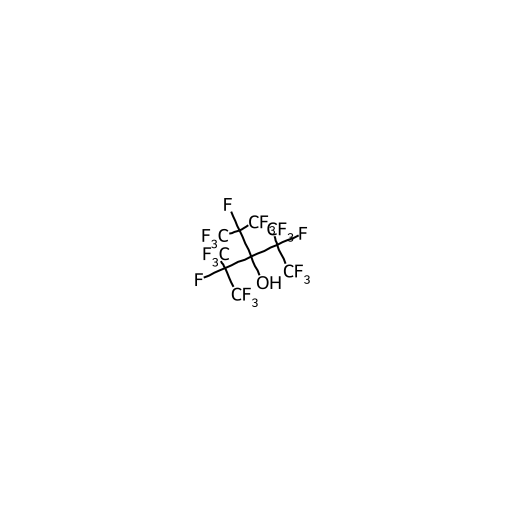 OC(C(F)(C(F)(F)F)C(F)(F)F)(C(F)(C(F)(F)F)C(F)(F)F)C(F)(C(F)(F)F)C(F)(F)F